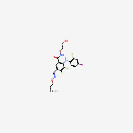 O=C(O)CCO/N=C/c1cc(C(=O)NOCCO)c(Nc2ccc(I)cc2F)c(F)c1F